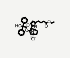 CCOC(=O)CCCc1ccc(C[N+]2(C)[C@@H]3CC[C@H]2CC(OC(=O)C(O)(c2ccccc2)c2ccccc2)C3)s1.[Cl-]